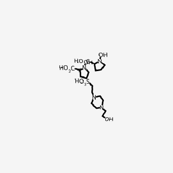 O=C(O)C1CCCN1O.O=C(O)C1CCCN1O.O=S(=O)(O)CCN1CCN(CCO)CC1